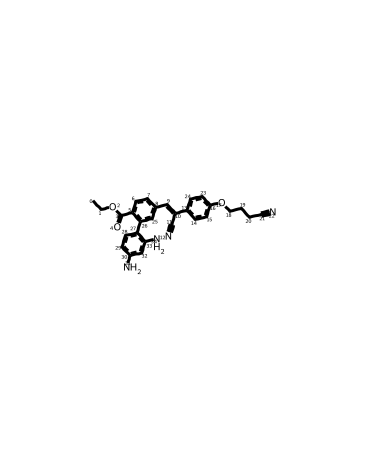 CCOC(=O)c1ccc(C=C(C#N)c2ccc(OCCCC#N)cc2)cc1-c1ccc(N)cc1N